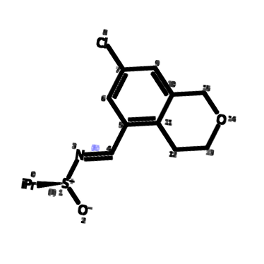 CC(C)[S@+]([O-])/N=C/c1cc(Cl)cc2c1CCOC2